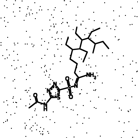 CCC(C)C(CC)C(CC)C(CC)C(CC)CCC/C(N)=N\S(=O)(=O)c1nnc(NC(C)=O)s1